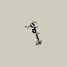 CC1CN(C(=O)c2cccc(NCCCCCNS(=O)(=O)C(C)C)c2)CC(C)O1